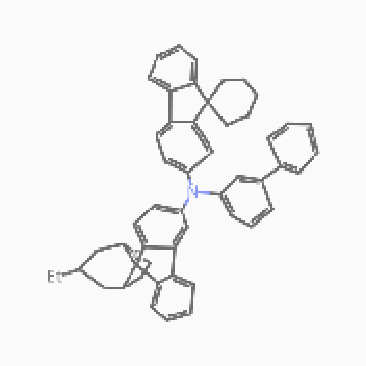 CCC1CC2CCCC(C1)C21c2ccccc2-c2cc(N(c3cccc(-c4ccccc4)c3)c3ccc4c(c3)C3(CCCCC3)c3ccccc3-4)ccc21